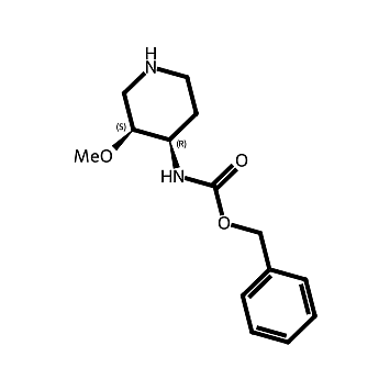 CO[C@H]1CNCC[C@H]1NC(=O)OCc1ccccc1